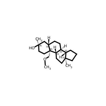 COC[C@]12CC[C@@](C)(O)C[C@@H]1CC[C@H]1[C@@H]3CCC[C@@]3(C)CC[C@@H]12